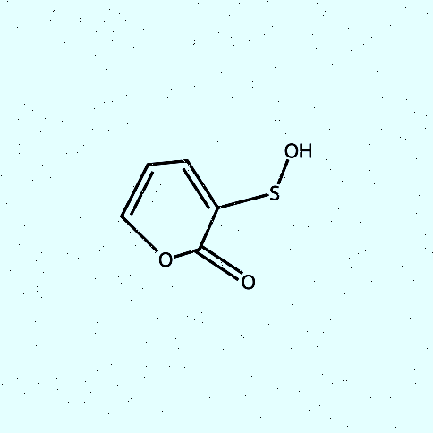 O=c1occcc1SO